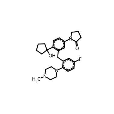 CN1CCN(c2ccc(F)cc2Cc2cc(N3CCCC3=O)ccc2C2(O)CCCC2)CC1